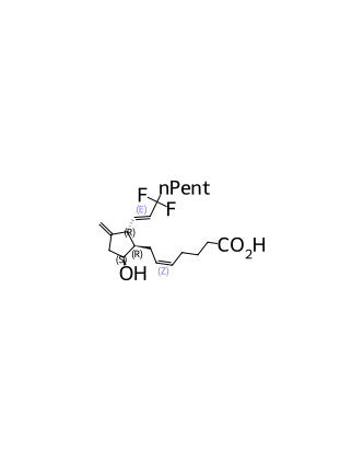 C=C1C[C@H](O)[C@H](C/C=C\CCCC(=O)O)[C@H]1/C=C/C(F)(F)CCCCC